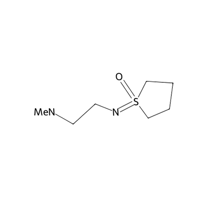 CNCCN=S1(=O)CCCC1